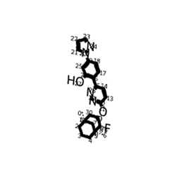 C[C@@]12CCC[C@@](C)(C1)[C@@H](F)[C@@H](Oc1ccc(-c3ccc(-n4cccn4)cc3O)nn1)C2